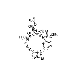 CCn1ncc2c1Nc1cccc(n1)N(C(=O)OC(C)(C)C)[C@H]1C[C@@H](C(=O)N(C)CCC2)N(C(=O)OC(C)(C)C)C1